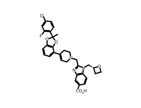 CC1(c2ccc(Cl)cc2F)Oc2cccc(C3=CCN(Cc4nc5cc(C(=O)O)ccc5n4C[C@@H]4CCO4)CC3)c2O1